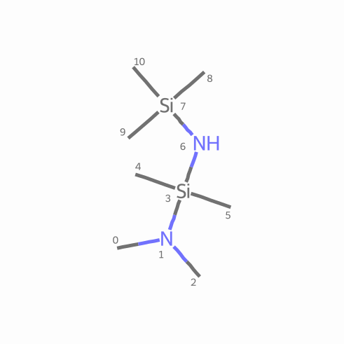 CN(C)[Si](C)(C)N[Si](C)(C)C